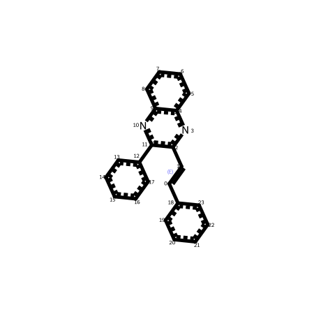 C(=C\c1nc2ccccc2nc1-c1ccccc1)/c1ccccc1